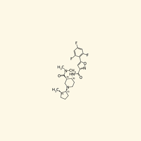 C[C@@H]1CCC[C@@H]1N1CC[C@@H](NC(=O)c2cc(-c3c(F)cc(F)cc3F)on2)[C@H](C(=O)N(C)C)C1